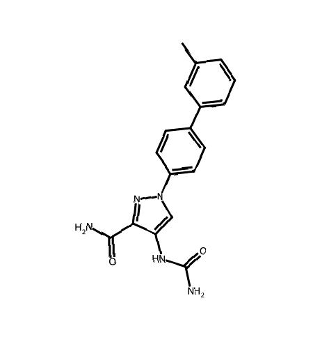 Cc1cccc(-c2ccc(-n3cc(NC(N)=O)c(C(N)=O)n3)cc2)c1